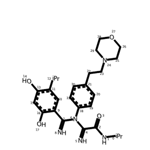 CC(C)NC(=O)C(=N)N(C(=N)c1cc(C(C)C)c(O)cc1O)c1ccc(CCN2CCOCC2)cc1